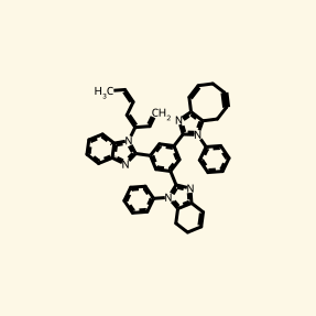 C=C/C(=C\C=C/C)n1c(-c2cc(-c3nc4c(n3-c3ccccc3)CCC=C4)cc(-c3nc4c(n3-c3ccccc3)CC#CC/C=C\4)c2)nc2ccccc21